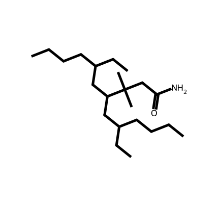 CCCCC(CC)CC(CC(CC)CCCC)C(C)(C)CC(N)=O